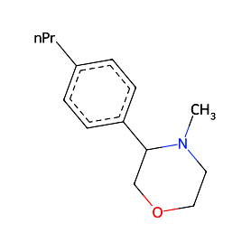 CCCc1ccc(C2COCCN2C)cc1